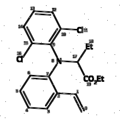 C=Cc1ccccc1N(c1c(Cl)cccc1Cl)C(CC)C(=O)OCC